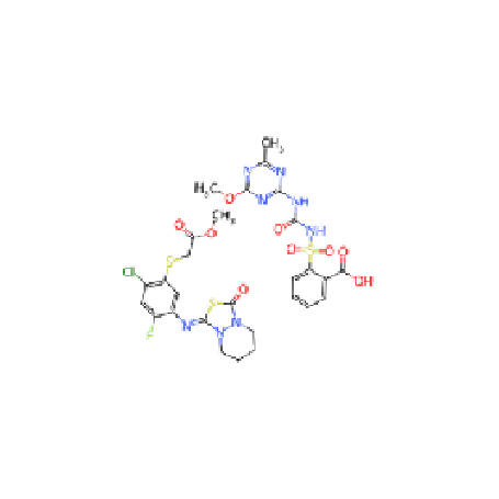 COC(=O)CSc1cc(/N=c2\sc(=O)n3n2CCCC3)c(F)cc1Cl.COc1nc(C)nc(NC(=O)NS(=O)(=O)c2ccccc2C(=O)O)n1